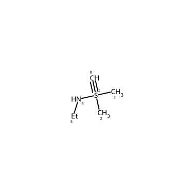 C#S(C)(C)NCC